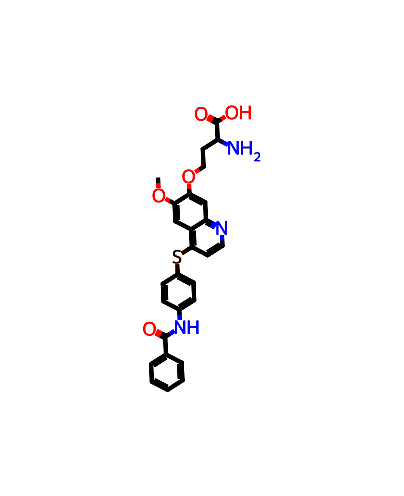 COc1cc2c(Sc3ccc(NC(=O)c4ccccc4)cc3)ccnc2cc1OCCC(N)C(=O)O